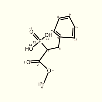 CC(C)OC(=O)C(Cc1ccccc1)P(=O)(O)O